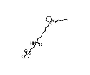 CCCC=C[C@H]1CCC[C@@H]1CC=CCCCC(=O)NCCSS(C)(=O)=O